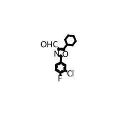 O=Cc1nc(-c2ccc(F)c(Cl)c2)oc1C1CCCCC1